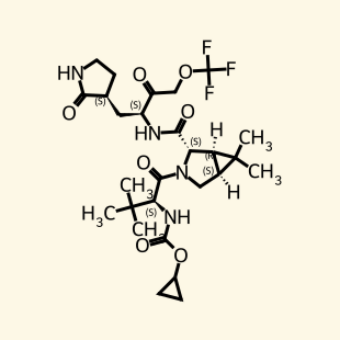 CC(C)(C)[C@H](NC(=O)OC1CC1)C(=O)N1C[C@H]2[C@@H]([C@H]1C(=O)N[C@@H](C[C@@H]1CCNC1=O)C(=O)COC(F)(F)F)C2(C)C